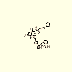 N=C(c1csc(CNC(=O)[C@@H]2C[C@@H](C(F)(F)F)CN2C(=O)CNC(=O)CCCOc2ccccc2)c1)N(Cc1ccccc1)C(=O)O